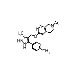 CC(=O)N1CCc2cc(OCC3=C(c4ccc(C)nc4)NNN3C)nnc2C1